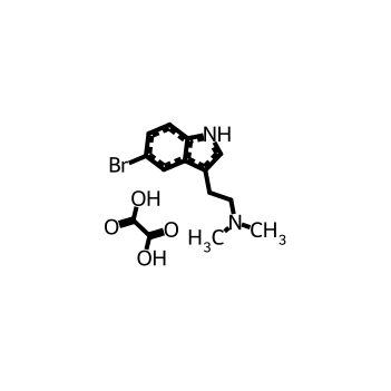 CN(C)CCc1c[nH]c2ccc(Br)cc12.O=C(O)C(=O)O